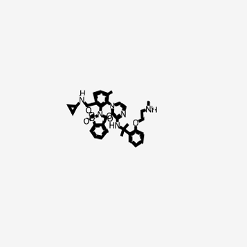 CNCCOc1ccccc1C(C)(C)Nc1nccn(-c2c(C)ccc(C(=O)NC3CC3)c2N2C(=O)c3ccccc3S2(=O)=O)c1=O